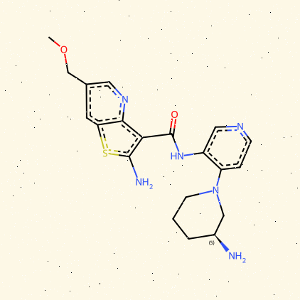 COCc1cnc2c(C(=O)Nc3cnccc3N3CCC[C@H](N)C3)c(N)sc2c1